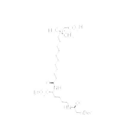 CCCCCCCCCCCC(=O)NCCCC[C@H](NC(=O)CCCCCCCCCC[N+](C)(C)CC(=O)O)C(=O)OCC